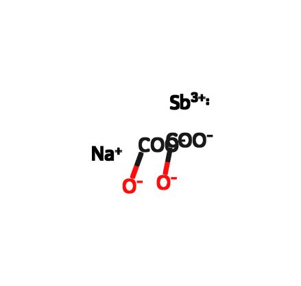 O=C([O-])[O-].O=C([O-])[O-].[Na+].[Sb+3]